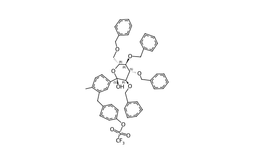 Cc1ccc([C@]2(O)O[C@H](COCc3ccccc3)[C@@H](OCc3ccccc3)[C@H](OCc3ccccc3)[C@H]2OCc2ccccc2)cc1Cc1ccc(OS(=O)(=O)C(F)(F)F)cc1